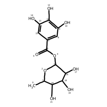 CC1OC(OC(=O)c2cc(O)c(O)c(O)c2)C(O)C(O)C1O